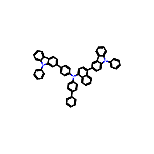 c1ccc(-c2ccc(N(c3ccc(-c4ccc5c6ccccc6n(-c6ccccc6)c5c4)cc3)c3ccc(-c4ccc5c(c4)c4ccccc4n5-c4ccccc4)c4ccccc34)cc2)cc1